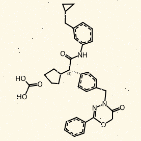 O=C(Nc1cccc(CC2CC2)c1)[C@H](c1ccc(CN2N=C(c3ccccc3)OCC2=O)cc1)C1CCCC1.O=C(O)O